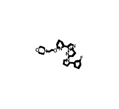 Fc1cccc(C2CCCN2c2ccc3ncc(-c4cccc(OCCN5CCOCC5)n4)n3n2)c1